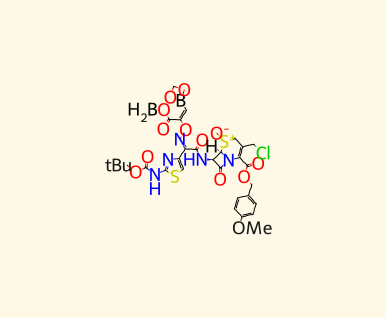 BOC(=O)/C(=C\B1OCO1)O/N=C(\C(=O)N[C@@H]1C(=O)N2C(C(=O)OCc3ccc(OC)cc3)=C(CCl)C[S+]([O-])[C@H]12)c1csc(NC(=O)OC(C)(C)C)n1